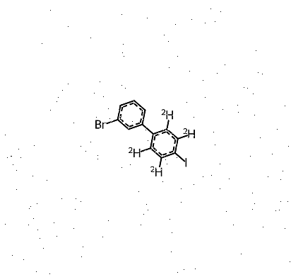 [2H]c1c([2H])c(-c2cccc(Br)c2)c([2H])c([2H])c1I